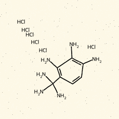 Cl.Cl.Cl.Cl.Cl.Cl.Nc1ccc(C(N)(N)N)c(N)c1N